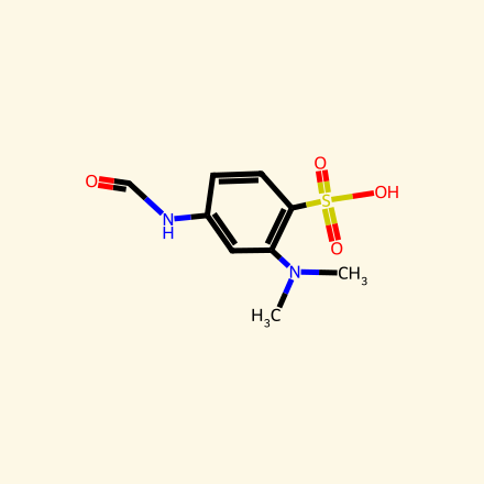 CN(C)c1cc(NC=O)ccc1S(=O)(=O)O